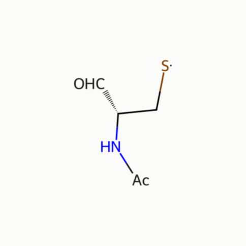 CC(=O)N[C@H](C=O)C[S]